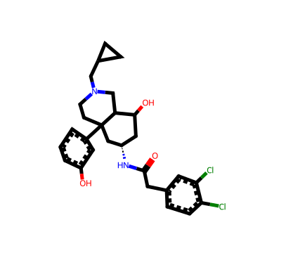 O=C(Cc1ccc(Cl)c(Cl)c1)N[C@H]1CC(O)C2CN(CC3CC3)CCC2(c2cccc(O)c2)C1